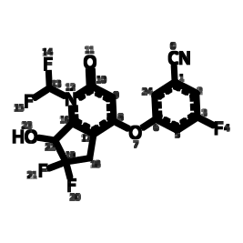 N#Cc1cc(F)cc(Oc2cc(=O)n(C(F)F)c3c2CC(F)(F)C3O)c1